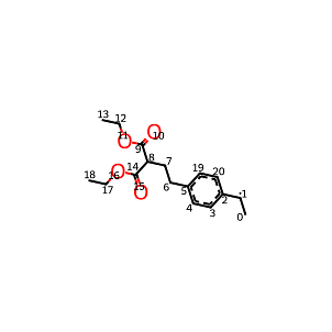 C[CH]c1ccc(CCC(C(=O)OCC)C(=O)OCC)cc1